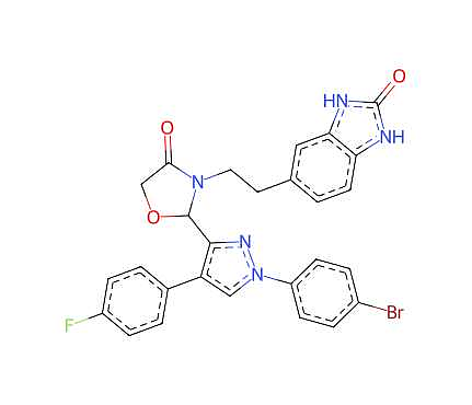 O=C1COC(c2nn(-c3ccc(Br)cc3)cc2-c2ccc(F)cc2)N1CCc1ccc2[nH]c(=O)[nH]c2c1